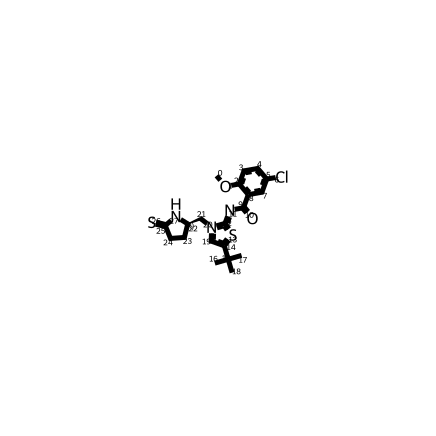 COc1ccc(Cl)cc1C(=O)N=c1sc(C(C)(C)C)cn1C[C@H]1CCC(=S)N1